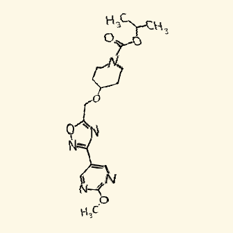 COc1ncc(-c2noc(COC3CCN(C(=O)OC(C)C)CC3)n2)cn1